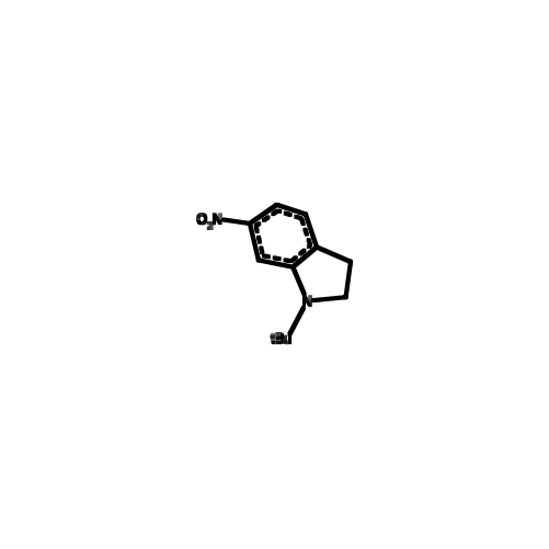 CC(C)(C)N1CCc2ccc([N+](=O)[O-])cc21